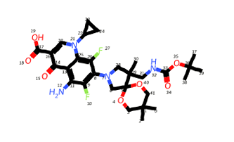 CC1(C)COC2(CN(c3c(F)c(N)c4c(=O)c(C(=O)O)cn(C5CC5)c4c3F)CC2(C)CNC(=O)OC(C)(C)C)OC1